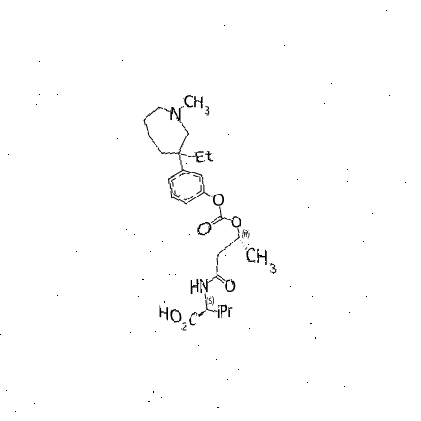 CCC1(c2cccc(OC(=O)O[C@H](C)CC(=O)N[C@H](C(=O)O)C(C)C)c2)CCCCN(C)C1